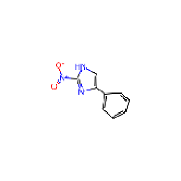 O=[N+]([O-])c1nc(-c2ccccc2)c[nH]1